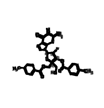 Cc1ccc(C(=O)OC[C@@]2(CO)O[C@@H](n3cnc4c(=O)[nH]c(N)nc43)[C@@H](F)[C@@H]2OC(=O)c2ccc(C)cc2)cc1